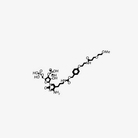 COCCOCCC(=O)NCCOc1ccc(COC(=O)NCCCc2cn([C@@H]3O[C@H](COP(=O)(O)O)C(OP(=O)(O)O)[C@@H]3O)c(=O)nc2N)cc1